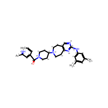 C/C=C\C(=C/C(=N)C(C)=O)C(=O)N1CCC(N2CCc3cnc(Nc4cc(C)cc(C)c4)nc3CC2)CC1